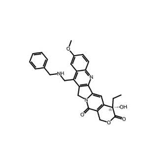 CC[C@@]1(O)C(=O)OCc2c1cc1n(c2=O)Cc2c-1nc1ccc(OC)cc1c2CNCc1ccccc1